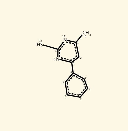 Cc1cc(-c2ccccc2)nc(S)n1